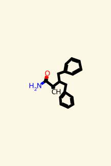 C=C(C(N)=O)C(Cc1ccccc1)Cc1ccccc1